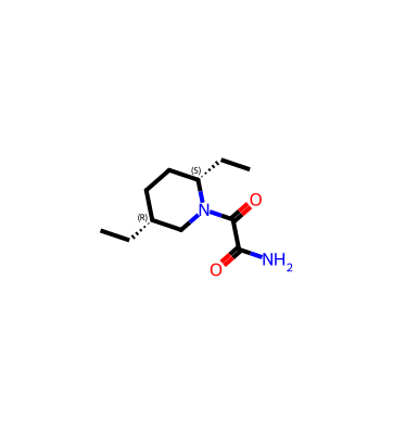 CC[C@@H]1CC[C@H](CC)N(C(=O)C(N)=O)C1